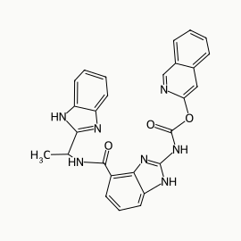 CC(NC(=O)c1cccc2[nH]c(NC(=O)Oc3cc4ccccc4cn3)nc12)c1nc2ccccc2[nH]1